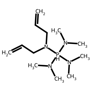 C=CCN(CC=C)[PH](N(C)C)(N(C)C)N(C)C